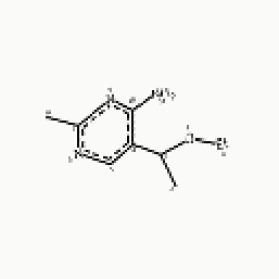 CCOC(C)c1cnc(C)nc1N